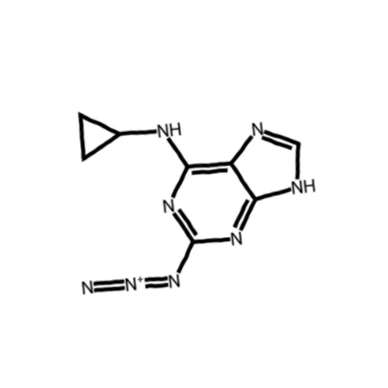 [N-]=[N+]=Nc1nc(NC2CC2)c2nc[nH]c2n1